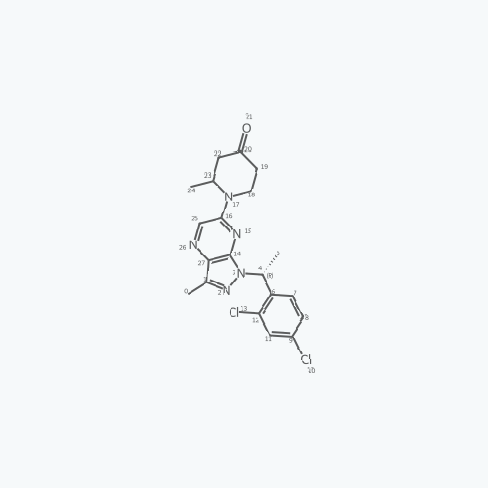 Cc1nn([C@H](C)c2ccc(Cl)cc2Cl)c2nc(N3CCC(=O)CC3C)cnc12